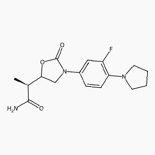 C[C@H](C(N)=O)C1CN(c2ccc(N3CCCC3)c(F)c2)C(=O)O1